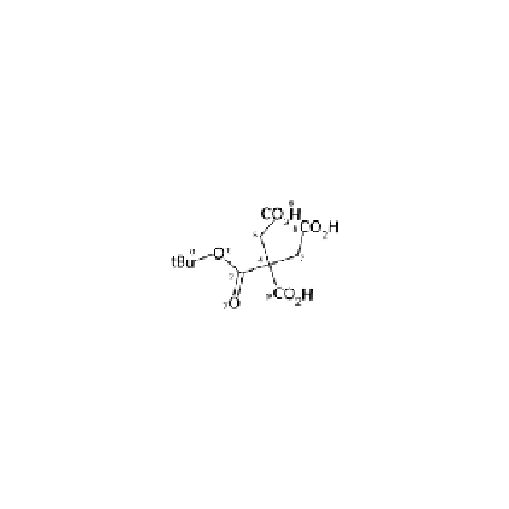 CC(C)(C)OC(=O)C(CC(=O)O)(CC(=O)O)C(=O)O